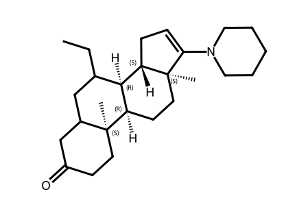 CCC1CC2CC(=O)CC[C@]2(C)[C@@H]2CC[C@]3(C)C(N4CCCCC4)=CC[C@H]3[C@H]12